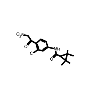 CC1(C)C(C(=O)Nc2ccc(C(=O)C[N+](=O)[O-])c(Cl)c2)C1(C)C